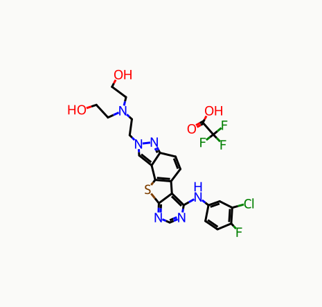 O=C(O)C(F)(F)F.OCCN(CCO)CCn1cc2c(ccc3c2sc2ncnc(Nc4ccc(F)c(Cl)c4)c23)n1